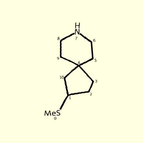 CSC1CCC2(CCNCC2)C1